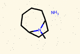 CN1C2CCCCC1CC2.N